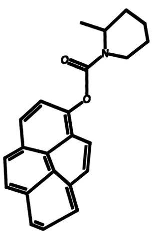 CC1CCCCN1C(=O)Oc1ccc2ccc3cccc4ccc1c2c34